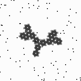 c1ccc(-c2ccc(N(c3ccc(-c4ccc(-c5nc6ccccc6nc5-c5cccc6ccccc56)cc4)cc3)c3ccc(-c4ccc(-c5nc6ccccc6nc5-c5cccc6ccccc56)cc4)cc3)cc2)cc1